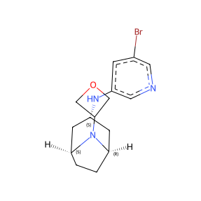 Brc1cncc(N[C@@H]2C[C@H]3CC[C@@H](C2)N3C2COC2)c1